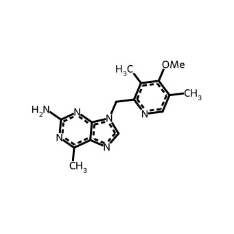 COc1c(C)cnc(Cn2cnc3c(C)nc(N)nc32)c1C